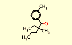 CCCC(C)(CC)C(=O)c1cccc(C)c1